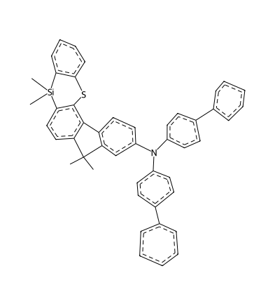 CC1(C)c2cc(N(c3ccc(-c4ccccc4)cc3)c3ccc(-c4ccccc4)cc3)ccc2-c2c1ccc1c2Sc2ccccc2[Si]1(C)C